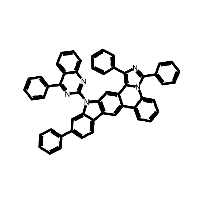 c1ccc(-c2ccc3c4cc5c6ccccc6n6c(-c7ccccc7)nc(-c7ccccc7)c6c5cc4n(-c4nc(-c5ccccc5)c5ccccc5n4)c3c2)cc1